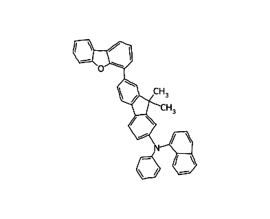 CC1(C)c2cc(-c3cccc4c3oc3ccccc34)ccc2-c2ccc(N(c3ccccc3)c3cccc4ccccc34)cc21